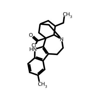 CCC1CC2CN3CCc4c([nH]c5ccc(C)cc45)C(C(=O)Cl)(C2)C13